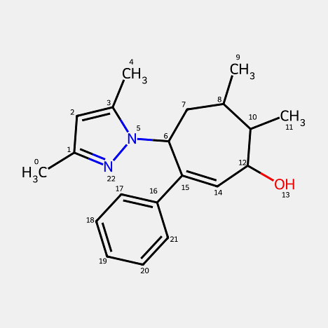 Cc1cc(C)n(C2CC(C)C(C)C(O)C=C2c2ccccc2)n1